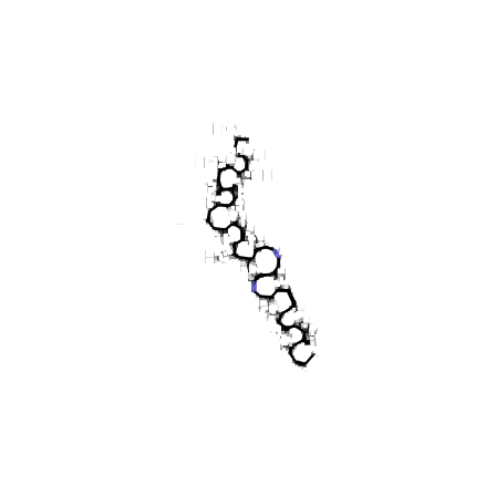 C[C@@H]1C[C@@H]2O[C@@H]3[C@@H](C)[C@H](O)[C@@H]4O[C@]5(C[C@H](O)CO5)[C@@H](C)[C@H](C)[C@H]4O[C@H]3C[C@H]2O[C@H]2C[C@H]3O[C@H]4C/C=C\C[C@H]5O[C@H]6C=C[C@H]7O[C@H]8[C@H](O)[C@H]9OCC=CC[C@@H]9O[C@@H]8C[C@@H]7O[C@@H]6C/C=C\[C@@H]5O[C@@H]4C[C@@H](O)[C@]3(C)O[C@@H]2C1